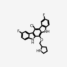 Fc1ccc2[nH]c3c(OCC4CCCN4)c4[nH]c5ccc(F)cc5c4c(Cl)c3c2c1